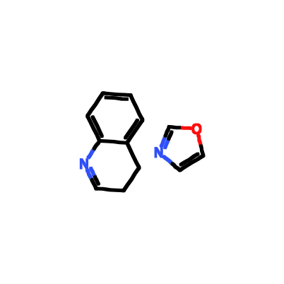 C1=Nc2ccccc2CC1.c1cocn1